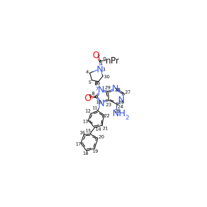 CCCC(=O)N1CC[C@@H](n2c(=O)n(-c3ccc(-c4ccccc4)cc3)c3c(N)ncnc32)C1